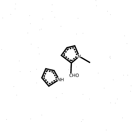 Cn1cccc1C=O.c1cc[nH]c1